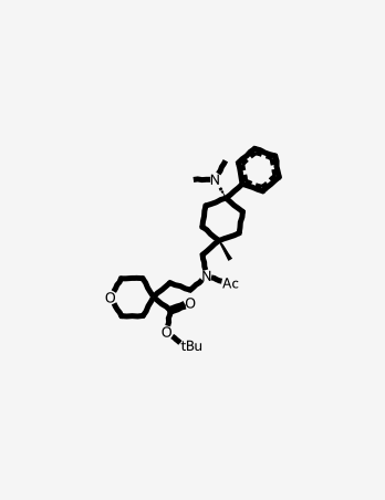 CC(=O)N(CCC1(C(=O)OC(C)(C)C)CCOCC1)C[C@]1(C)CC[C@](c2ccccc2)(N(C)C)CC1